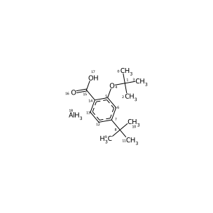 CC(C)(C)Oc1cc(C(C)(C)C)ccc1C(=O)O.[AlH3]